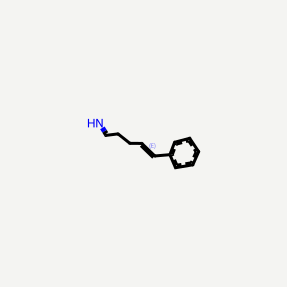 N=CCC/C=C/c1ccccc1